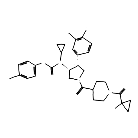 CC1(C(=O)N2CCC(C(=O)N3C[C@@H](N(C(=O)Oc4ccc(F)cc4)C4CC4)[C@H](c4ccc(Cl)c(Cl)c4)C3)CC2)CC1